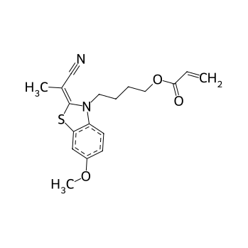 C=CC(=O)OCCCCN1/C(=C(/C)C#N)Sc2cc(OC)ccc21